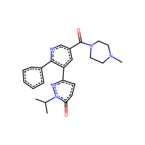 CC(C)n1nc(-c2cc(C(=O)N3CCN(C)CC3)cnc2-c2ccccc2)ccc1=O